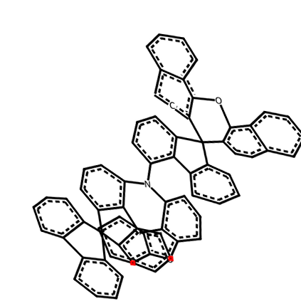 c1ccc2c(c1)-c1ccccc1C21c2ccccc2-c2c(N(c3cccc4c3-c3ccccc3C43c4ccc5ccccc5c4Oc4c3ccc3ccccc43)c3cccc4oc5ccccc5c34)cccc21